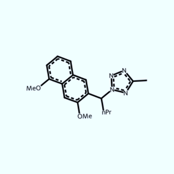 [CH2]CCC(c1cc2cccc(OC)c2cc1OC)n1nnc(C)n1